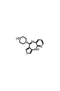 c1cnc2c(c1)N=C(N1CCNCC1)c1cscc1N2